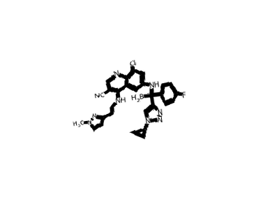 BC(Nc1cc(Cl)c2ncc(C#N)c(NCCc3ccn(C)n3)c2c1)(c1ccc(F)cc1)c1cn(C2CC2)nn1